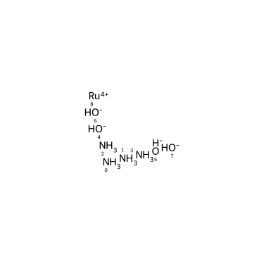 N.N.N.N.[OH-].[OH-].[OH-].[OH-].[Ru+4]